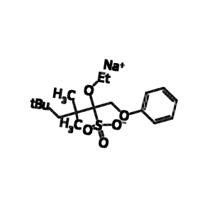 CCOC(COc1ccccc1)(C(C)(C)CC(C)(C)C)S(=O)(=O)[O-].[Na+]